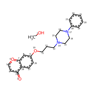 CO.O=c1ccoc2cc(OCCCN3CCN(c4ccccc4)CC3)ccc12